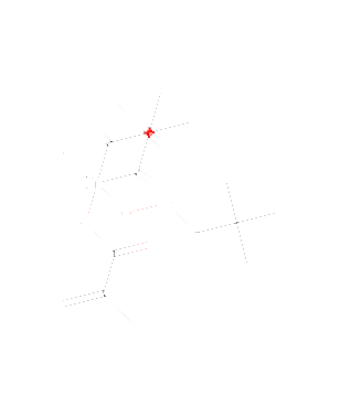 C=C(C)C(=O)[O][Zr](=[O])([O]OCC(C)(C)C)([C](=O)C(=C)C)[C](=O)C(=C)C